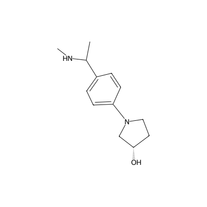 CNC(C)c1ccc(N2CC[C@H](O)C2)cc1